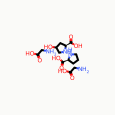 NCC(=O)O.NCC(=O)O.O=C(O)[C@@H]1CC(O)CN1.O=C(O)[C@@H]1CCCN1